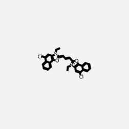 CCN1C(=CC=Cc2oc3c4ccccc4c(Cl)cc3[n+]2CC)Oc2c1cc(Cl)c1ccccc21